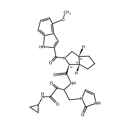 COc1cccc2[nH]c(C(=O)N3C[C@@H]4CCC[C@@H]4[C@H]3C(=O)NC(Cn3cc[nH]c3=O)C(=O)C(=O)NC3CC3)cc12